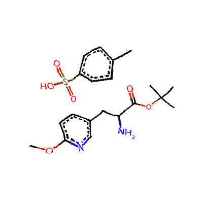 COc1ccc(CC(N)C(=O)OC(C)(C)C)cn1.Cc1ccc(S(=O)(=O)O)cc1